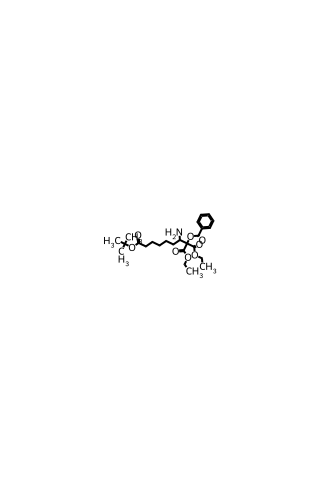 CCOC(=O)C(OC(=O)c1ccccc1)(C(=O)OCC)C(N)CCCCCC(=O)OC(C)(C)C